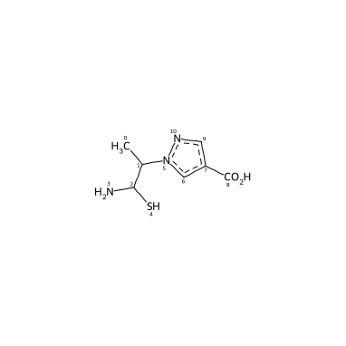 CC(C(N)S)n1cc(C(=O)O)cn1